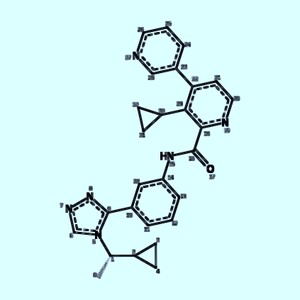 C[C@@H](C1CC1)n1cnnc1-c1cccc(NC(=O)c2nccc(-c3cccnc3)c2C2CC2)c1